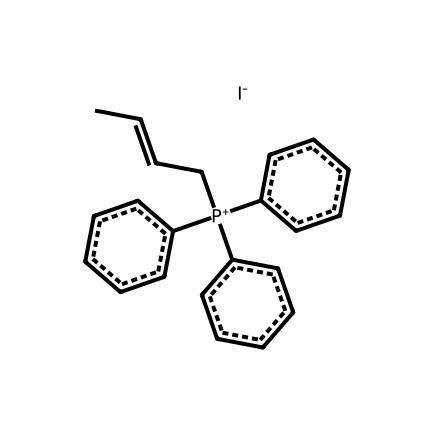 CC=CC[P+](c1ccccc1)(c1ccccc1)c1ccccc1.[I-]